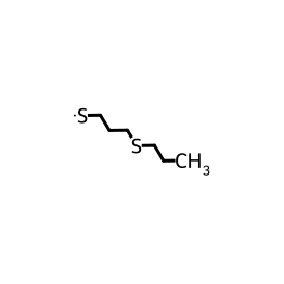 CCCSCCC[S]